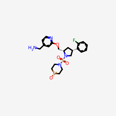 NCc1ccnc(OC[C@@H]2C[C@H](c3ccccc3F)CN2S(=O)(=O)N2CC[S+]([O-])CC2)c1